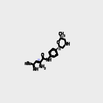 CCCCC(=N)/C=C(\N)C(=O)Nc1ccc([C@H]2CNC[C@@H](C)O2)cc1